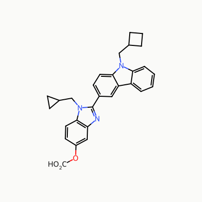 O=C(O)Oc1ccc2c(c1)nc(-c1ccc3c(c1)c1ccccc1n3CC1CCC1)n2CC1CC1